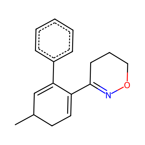 CC1C=C(c2ccccc2)C(C2=NOCCC2)=CC1